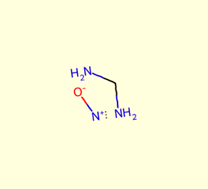 NCN.[N+][O-]